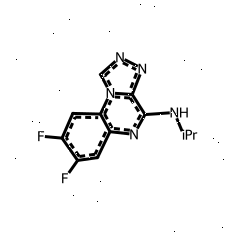 CC(C)Nc1nc2cc(F)c(F)cc2n2cnnc12